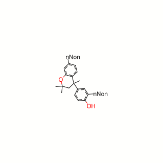 CCCCCCCCCc1ccc2c(c1)OC(C)(C)CC2(C)c1ccc(O)c(CCCCCCCCC)c1